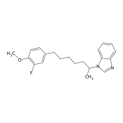 COc1ccc(CCCCCC(C)n2cnc3ccccc32)cc1F